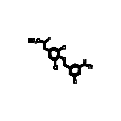 CCNc1cc(Cl)cc(COc2c(Cl)cc(CC(F)C(=O)O)cc2Cl)c1